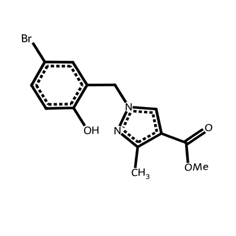 COC(=O)c1cn(Cc2cc(Br)ccc2O)nc1C